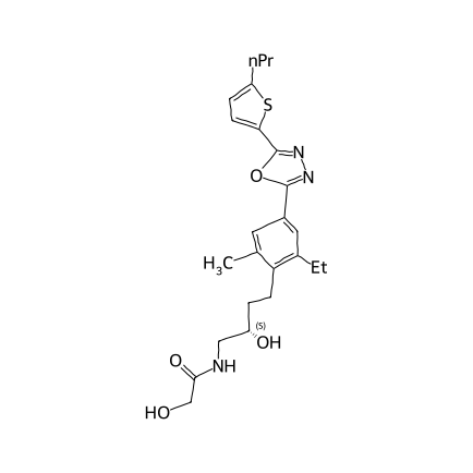 CCCc1ccc(-c2nnc(-c3cc(C)c(CC[C@H](O)CNC(=O)CO)c(CC)c3)o2)s1